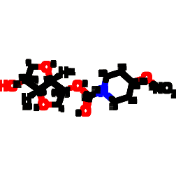 O=C(O[C@@H]1CO[C@H]2[C@@H]1OC[C@H]2O)N1CCC(O[N+](=O)[O-])CC1